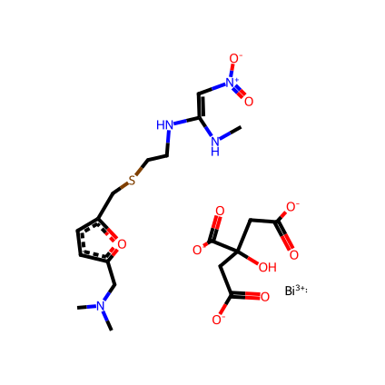 CNC(=C[N+](=O)[O-])NCCSCc1ccc(CN(C)C)o1.O=C([O-])CC(O)(CC(=O)[O-])C(=O)[O-].[Bi+3]